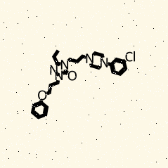 CCc1nn(CCCOc2ccccc2)c(=O)n1CCCN1CCN(c2cccc(Cl)c2)CC1